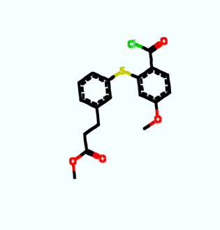 COC(=O)CCc1cccc(Sc2cc(OC)ccc2C(=O)Cl)c1